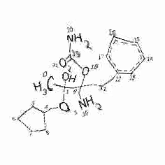 CC(O)(OC1CCCC1)C(N)(Cc1ccccc1)OC(N)=O